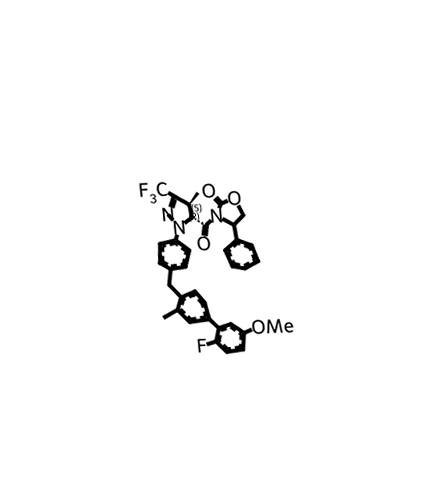 COc1ccc(F)c(-c2ccc(Cc3ccc(N4N=C(C(F)(F)F)[C@@H](C)[C@@H]4C(=O)N4C(=O)OCC4c4ccccc4)cc3)c(C)c2)c1